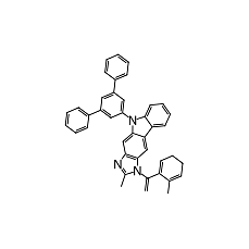 C=C(C1=CCCC=C1C)n1c(C)nc2cc3c(cc21)c1ccccc1n3-c1cc(-c2ccccc2)cc(-c2ccccc2)c1